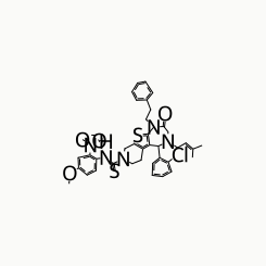 COc1ccc(NC(=S)N2CCc3c(sc4c3C(c3ccccc3Cl)N(CC=C(C)C)CC(=O)N4CCc3ccccc3)C2)c([N+](=O)[O-])c1